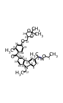 CCO/N=C(\C)c1ccc2c(c1)c1cc(C(=O)c3ccc(OCC4COC(C)(C)O4)cc3C)ccc1n2CC